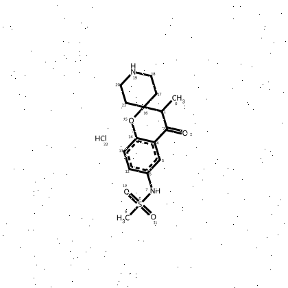 CC1C(=O)c2cc(NS(C)(=O)=O)ccc2OC12CCNCC2.Cl